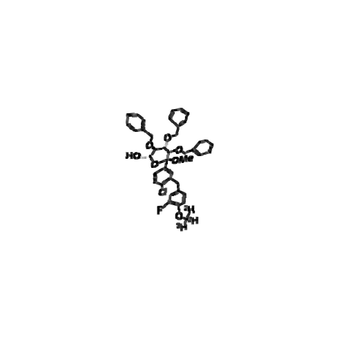 [2H]C([2H])([2H])Oc1ccc(Cc2cc([C@]3(OC)O[C@H](CO)[C@@H](OCc4ccccc4)[C@H](OCc4ccccc4)[C@H]3OCc3ccccc3)ccc2Cl)cc1F